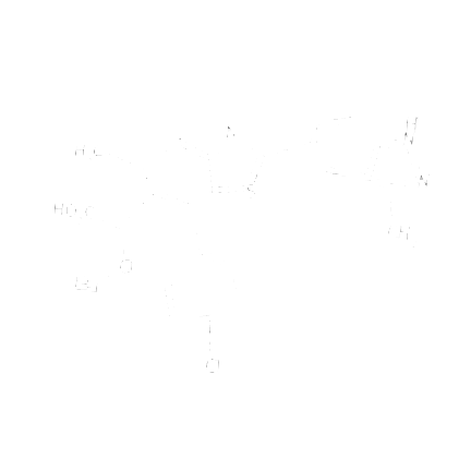 Cc1cc2nc(-c3ccc4[nH]nc(C)c4c3)sc2c(-c2ccc(Cl)cc2)c1C(OC(C)(C)C)C(=O)O